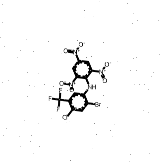 O=[N+]([O-])c1cc([N+](=O)[O-])c(Nc2cc(C(F)(F)F)c(Cl)cc2Br)c([N+](=O)[O-])c1